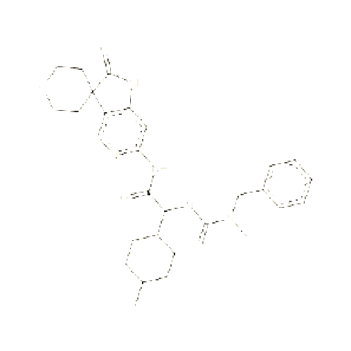 CC1CCC(C(NC(=O)N(C)Cc2ccccc2)C(=O)Nc2cc3c(cn2)C2(CCOCC2)C(=O)N3)CC1